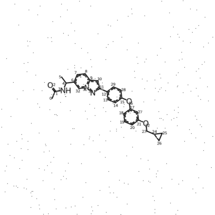 CC(=O)NC(C)c1ccc2cc(-c3ccc(Oc4cccc(OCC5CC5)c4)cc3)nn2c1